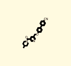 CC1CCN(C(=O)c2cncc(COc3ccc(-c4ccc(C#N)cc4)cc3)c2)CC1